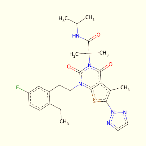 CCc1ccc(F)cc1CCn1c(=O)n(C(C)(C)C(=O)NC(C)C)c(=O)c2c(C)c(-n3nccn3)sc21